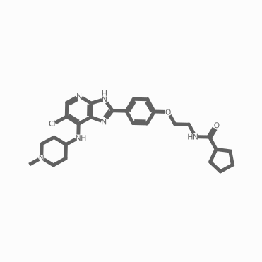 CN1CCC(Nc2c(Cl)cnc3[nH]c(-c4ccc(OCCNC(=O)C5CCCC5)cc4)nc23)CC1